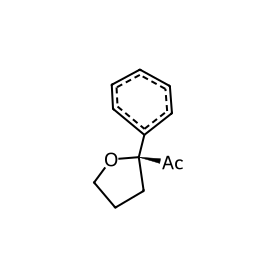 CC(=O)[C@@]1(c2ccccc2)CCCO1